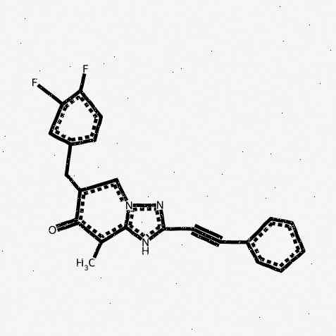 Cc1c(=O)c(Cc2ccc(F)c(F)c2)cn2nc(C#Cc3ccccc3)[nH]c12